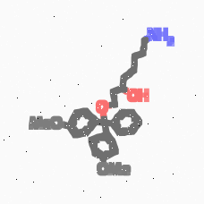 COc1ccc(C(OCCC(O)CCCCCN)(c2ccccc2)c2ccc(OC)cc2)cc1